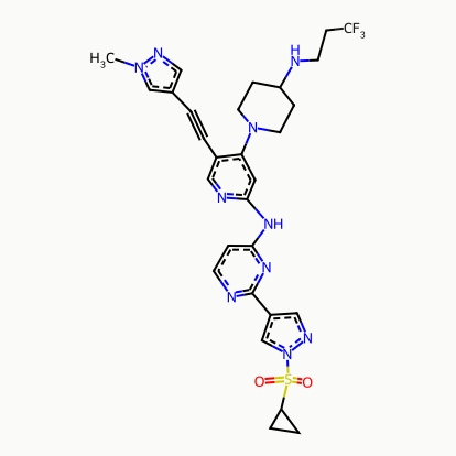 Cn1cc(C#Cc2cnc(Nc3ccnc(-c4cnn(S(=O)(=O)C5CC5)c4)n3)cc2N2CCC(NCCC(F)(F)F)CC2)cn1